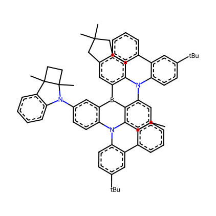 Cc1cc2c3c(c1)N(c1ccc(C(C)(C)C)cc1-c1ccccc1)c1cc4c(cc1B3c1cc(N3c5ccccc5C5(C)CCC35C)ccc1N2c1ccc(C(C)(C)C)cc1-c1ccccc1)CC(C)(C)C4